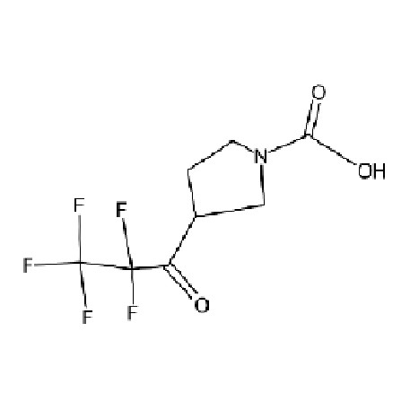 O=C(O)N1CCC(C(=O)C(F)(F)C(F)(F)F)C1